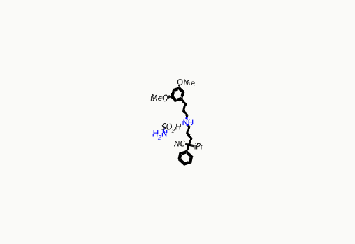 COc1cc(CCCNCCCC(C#N)(c2ccccc2)C(C)C)cc(OC)c1.NS(=O)(=O)O